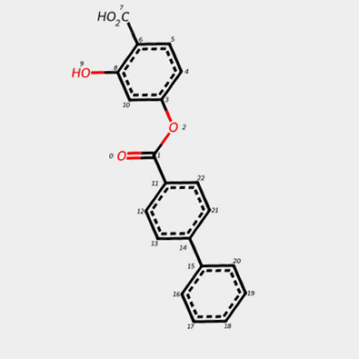 O=C(Oc1ccc(C(=O)O)c(O)c1)c1ccc(-c2ccccc2)cc1